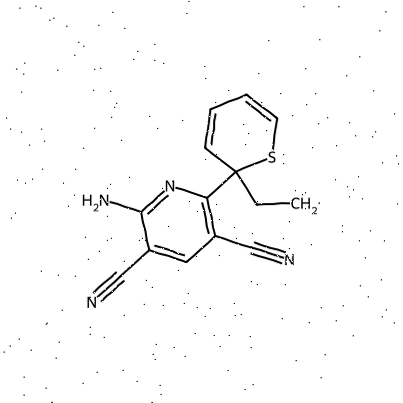 [CH2]CC1(c2nc(N)c(C#N)cc2C#N)C=CC=CS1